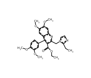 CCOC(=O)c1c(Cn2ccnc2CC)nc2cc(OC)c(OC)cc2c1-c1ccc(OC)c(OC)c1